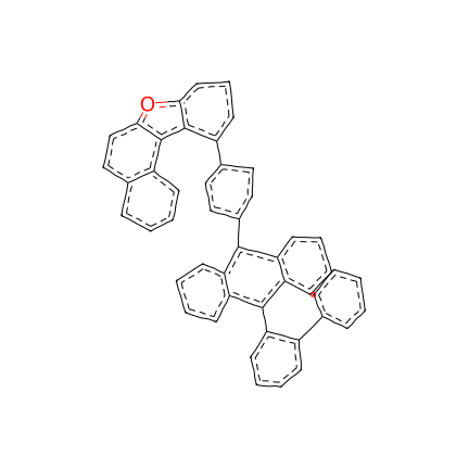 c1ccc(-c2ccccc2-c2c3ccccc3c(-c3ccc(-c4cccc5oc6ccc7ccccc7c6c45)cc3)c3ccccc23)cc1